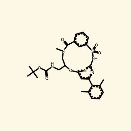 Cc1cccc(C)c1-c1cc2nc(n1)NS(=O)(=O)c1cccc(c1)C(=O)N(C)CC(CNC(=O)OC(C)(C)C)O2